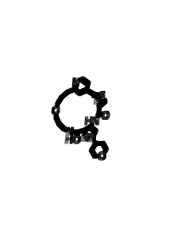 O=C1Nc2cn(C3CCOCC3)nc2C(=O)NCCCOCCCc2cc(ccn2)-c2nc1cs2